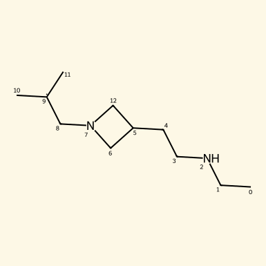 CCNCCC1CN(C[C](C)C)C1